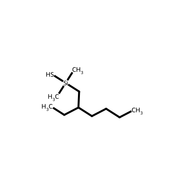 CCCCC(CC)C[Si](C)(C)S